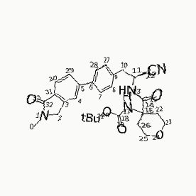 CN1Cc2cc(-c3ccc(C[C@@H](C#N)NC(=O)C4(NC(=O)OC(C)(C)C)CCOCC4)cc3)ccc2C1=O